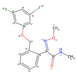 CNC(=O)C(=NOC)c1ccccc1COc1cc(F)cc(F)c1